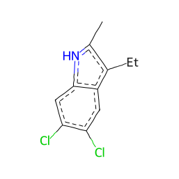 CCc1c(C)[nH]c2cc(Cl)c(Cl)cc12